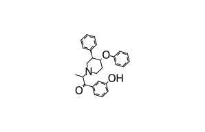 CC(C(=O)c1cccc(O)c1)N1CC[C@@H](Oc2ccccc2)[C@H](c2ccccc2)C1